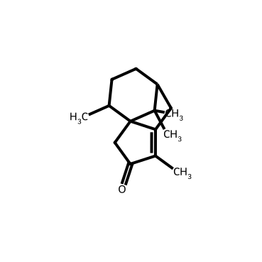 CC1=C2CC3CCC(C)C2(CC1=O)C3(C)C